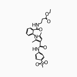 CCOC(=O)CCNC(=O)c1ccccc1-n1c(C)cc(C(=O)Nc2ccc(S(C)(=O)=O)cc2)c1C